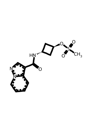 CS(=O)(=O)O[C@H]1C[C@H](NC(=O)c2cnn3ccccc23)C1